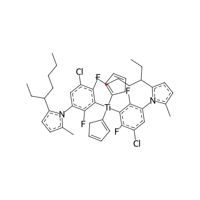 CCCCC(CC)c1ccc(C)n1-c1cc(Cl)c(F)[c]([Ti]([C]2=CC=CC2)([C]2=CC=CC2)[c]2c(F)c(Cl)cc(-n3c(C)ccc3C(CC)CCCC)c2F)c1F